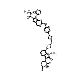 CN(C)C(=O)c1cc2cnc(Nc3ccc(C4CN(CC5CN(c6cccc7c6n(C)c(=O)n7[C@@H]6CCC(=O)NC6=O)C5)C4)cn3)nc2n1C1CCCC1